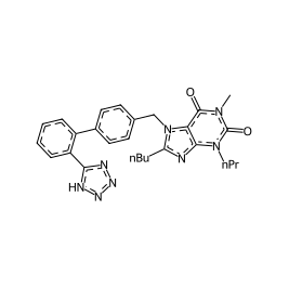 CCCCc1nc2c(c(=O)n(C)c(=O)n2CCC)n1Cc1ccc(-c2ccccc2-c2nnn[nH]2)cc1